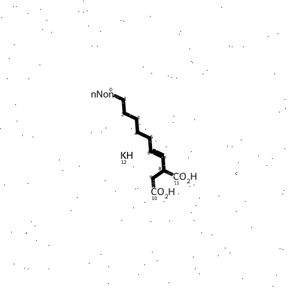 CCCCCCCCCCCCCCC=CC(CC(=O)O)C(=O)O.[KH]